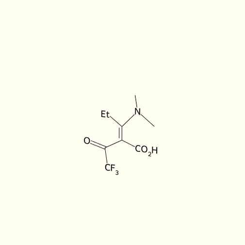 CCC(=C(C(=O)O)C(=O)C(F)(F)F)N(C)C